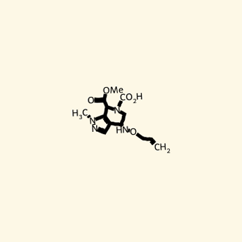 C=CCONC1CN(C(=O)O)C(C(=O)OC)c2c1cnn2C